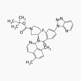 Cc1ccc(C)c2c(N(C(=O)c3ccc(-n4nnc5cccnc54)cc3F)[C@@H]3CCCN(C(=O)OC(C)(C)C)C3)nccc12